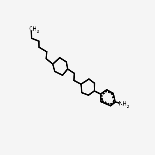 CCCCCCC1CCC(CCC2CCC(c3ccc(N)cc3)CC2)CC1